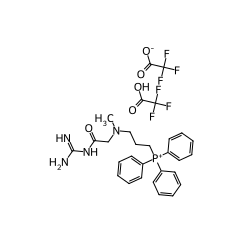 CN(CCC[P+](c1ccccc1)(c1ccccc1)c1ccccc1)CC(=O)NC(=N)N.O=C(O)C(F)(F)F.O=C([O-])C(F)(F)F